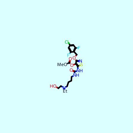 CCN(CCO)CCCCNC(=O)Nc1snc(OCc2c(F)cc(Cl)cc2F)c1OC(=O)OC